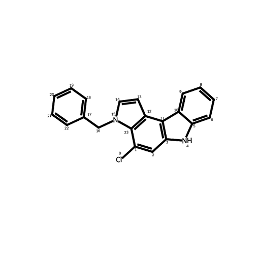 Clc1cc2[nH]c3ccccc3c2c2ccn(Cc3ccccc3)c12